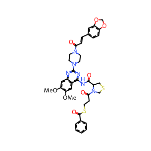 COc1cc2nc(N3CCN(C(=O)C=Cc4ccc5c(c4)OCO5)CC3)nc(NC(=O)C3CSCN3C(=O)CCSC(=O)c3ccccc3)c2cc1OC